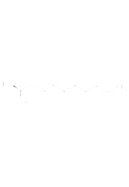 CCCCCCCOC[C@H](C)O